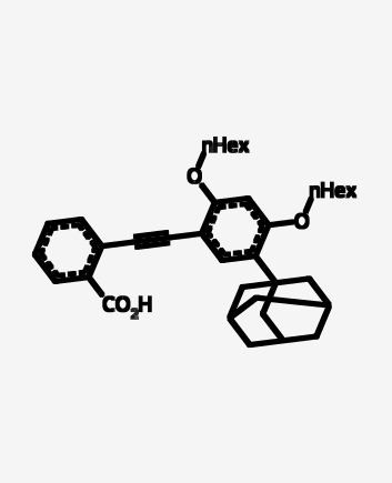 CCCCCCOc1cc(OCCCCCC)c(C23CC4CC(CC(C4)C2)C3)cc1C#Cc1ccccc1C(=O)O